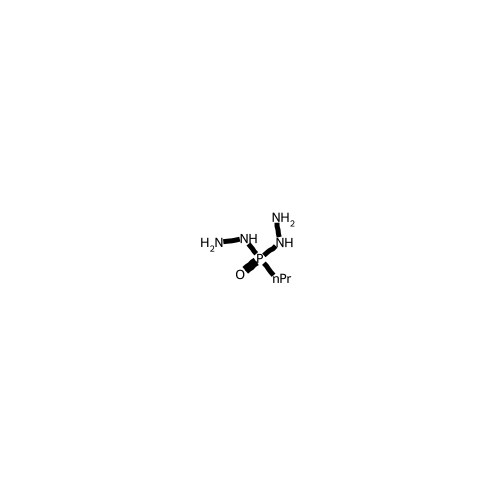 CCCP(=O)(NN)NN